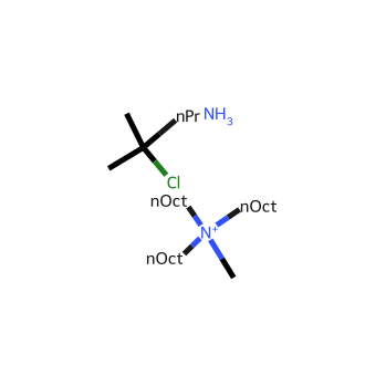 CCCC(C)(C)Cl.CCCCCCCC[N+](C)(CCCCCCCC)CCCCCCCC.N